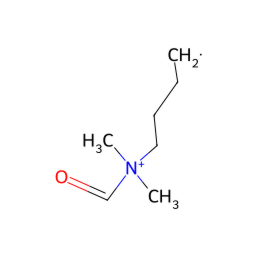 [CH2]CCC[N+](C)(C)C=O